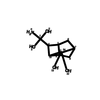 NC(O)(O)C1C2CC3CC2C1C(O)(O)C3